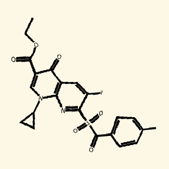 CCOC(=O)c1cn(C2CC2)c2nc(S(=O)(=O)C(=O)c3ccc(C)cc3)c(F)cc2c1=O